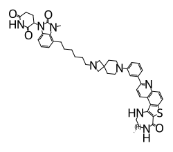 C[C@@H]1CNc2c(sc3ccc4nc(-c5cccc(N6CCC7(CC6)CN(CCCCCCc6cccc8c6n(C)c(=O)n8C6CCC(=O)NC6=O)C7)c5)ccc4c23)C(=O)N1